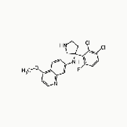 COc1ccnc2cc(N[C@@]3(c4c(F)ccc(Cl)c4Cl)CCNC3)ccc12